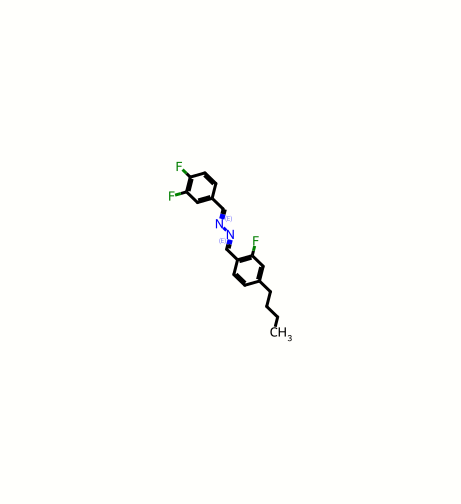 CCCCc1ccc(/C=N/N=C/c2ccc(F)c(F)c2)c(F)c1